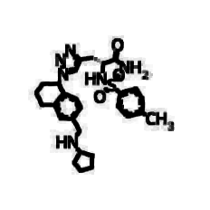 Cc1ccc(S(=O)(=O)N[C@H](Cc2cn([C@@H]3CCCc4cc(CNC5CCCC5)ccc43)nn2)C(N)=O)cc1